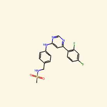 CS(=O)(=O)NCc1ccc(Nc2cc(-c3ccc(F)cc3F)ncn2)cc1